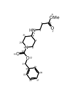 COC(=O)CCNC1CCN(C(=O)OCc2ccccc2)CC1